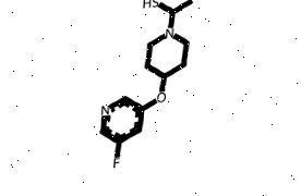 CC(S)N1CCC(Oc2cncc(F)c2)CC1